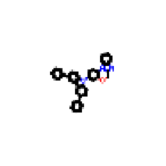 c1ccc(-c2ccc3c(c2)c2cc(-c4ccccc4)ccc2n3-c2ccc3c(c2)OCc2nc4ccccc4n2-3)cc1